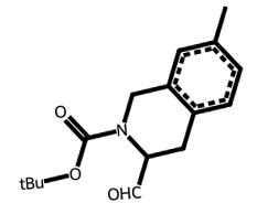 Cc1ccc2c(c1)CN(C(=O)OC(C)(C)C)C(C=O)C2